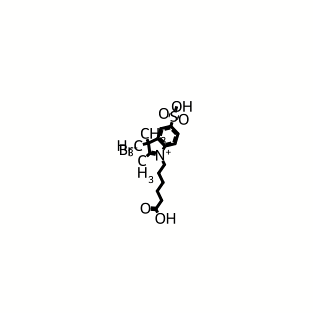 CC1=[N+](CCCCCC(=O)O)c2ccc(S(=O)(=O)O)cc2C1(C)C.[Br-]